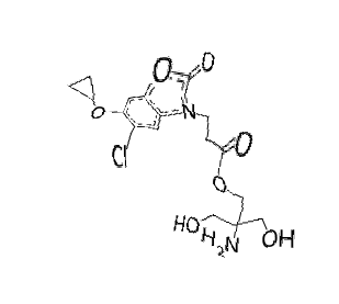 NC(CO)(CO)COC(=O)CCn1c(=O)oc2cc(OC3CC3)c(Cl)cc21